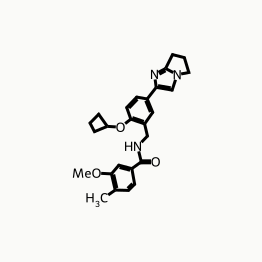 COc1cc(C(=O)NCc2cc(-c3cn4c(n3)CCC4)ccc2OC2CCC2)ccc1C